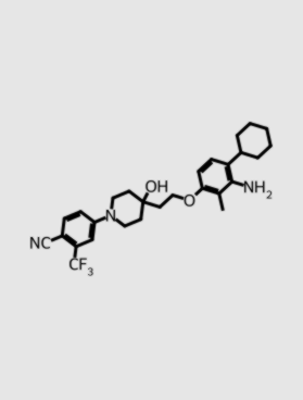 Cc1c(OCCC2(O)CCN(c3ccc(C#N)c(C(F)(F)F)c3)CC2)ccc(C2CCCCC2)c1N